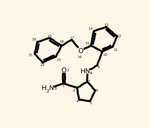 NC(=O)C1CCCC1NCc1ccccc1OCc1ccccc1